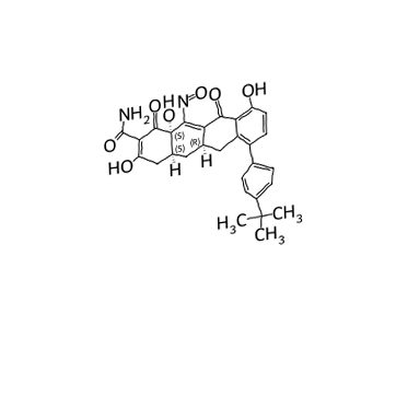 CC(C)(C)c1ccc(-c2ccc(O)c3c2C[C@H]2C[C@H]4CC(O)=C(C(N)=O)C(=O)[C@@]4(O)C(N=O)=C2C3=O)cc1